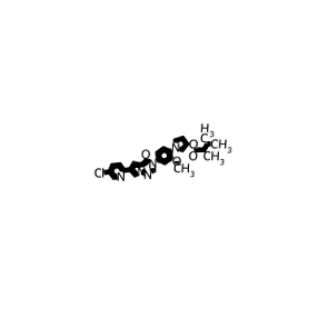 COc1cc(-n2cnn3cc(-c4ccc(Cl)cn4)cc3c2=O)ccc1N1CC[C@@H](OC(=O)[C@@H](C)C(C)C)C1